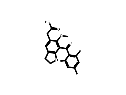 COc1c(CC(=O)O)cc2c(c1C(=O)c1c(C)cc(C)cc1C)OCC2